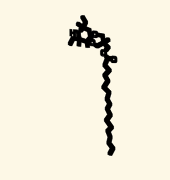 CCCCCCCCCCCCCCCCCC(=O)OCC1(C)COC2(CC(C)(CC)NC(C)(CC)C2C)OC1